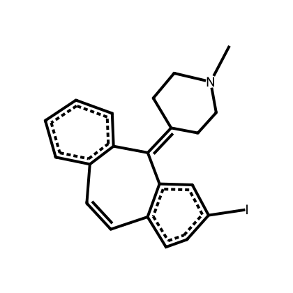 CN1CCC(=C2c3ccccc3C=Cc3ccc(I)cc32)CC1